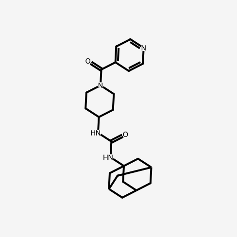 O=C(NC1CCN(C(=O)c2ccncc2)CC1)NC12CC3CC(CC(C3)C1)C2